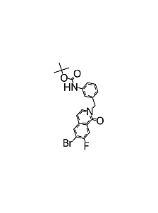 CC(C)(C)OC(=O)Nc1cccc(Cn2ccc3cc(Br)c(F)cc3c2=O)c1